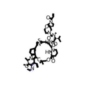 C=CC(=O)N1CC[C@@]2(C1)CN(C(=O)N(C)[C@H](C(=O)N[C@H]1Cc3nc(cs3)-c3ccc4c(c3)c(c(/C(C=C)=C(/N=C\C)[C@H](C)OC)n4CC)CC(C)(C)COC(=O)[C@@H]3CCCN(N3)C1=O)C(C)C)CCO2